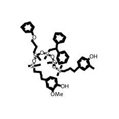 COc1cc(CCC[Si](C)(C)O[Si](C)(CCCOc2ccccc2)O[Si](C)(CC(c2ccccc2)c2ccccc2)O[Si](C)(C)O[Si](C)(C)CCCc2ccc(O)c(C)c2)ccc1O